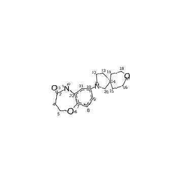 CN1C(=O)CCOc2ccc(N3CCC4(CCOCC4)C3)cc21